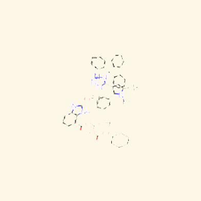 CCOc1nc2cccc(C(=O)OC(C)OC(=O)OC3CCCCC3)c2n1Cc1ccc(-c2c(-c3nnnn3C(c3ccccc3)(c3ccccc3)c3ccccc3)cc(C)n2CC)cc1